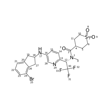 CN(C(=O)C1CCS(=O)(=O)CC1)[C@@H](c1ccc(NC2Cc3cccc(Br)c3C2)cn1)C(F)(F)F